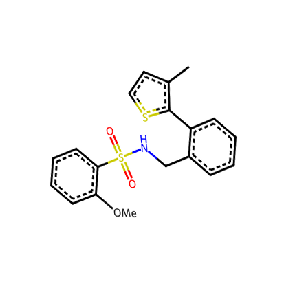 COc1ccccc1S(=O)(=O)NCc1ccccc1-c1sccc1C